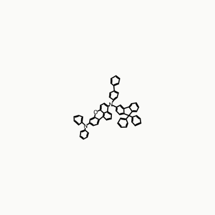 c1ccc(-c2ccc(N(c3ccc4c(c3)-c3ccccc3C4(c3ccccc3)c3ccccc3)c3ccc4c5c(cccc35)-c3ccc(N(c5ccccc5)c5ccccc5)cc3O4)cc2)cc1